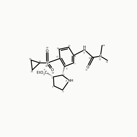 CCOC(=O)[C@H]1CCN[C@H]1c1cc(NC(=O)N(C)C)ccc1S(=O)(=O)C1CC1